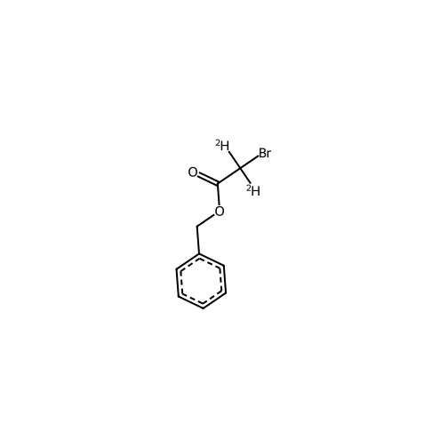 [2H]C([2H])(Br)C(=O)OCc1ccccc1